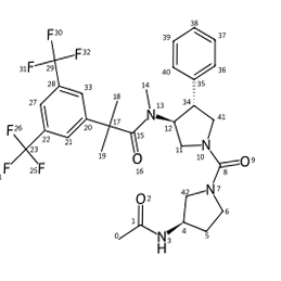 CC(=O)N[C@@H]1CCN(C(=O)N2C[C@@H](N(C)C(=O)C(C)(C)c3cc(C(F)(F)F)cc(C(F)(F)F)c3)[C@H](c3ccccc3)C2)C1